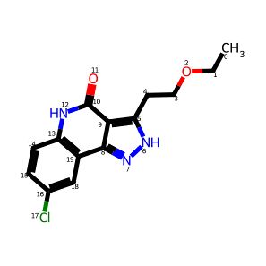 CCOCCc1[nH]nc2c1c(=O)[nH]c1ccc(Cl)cc12